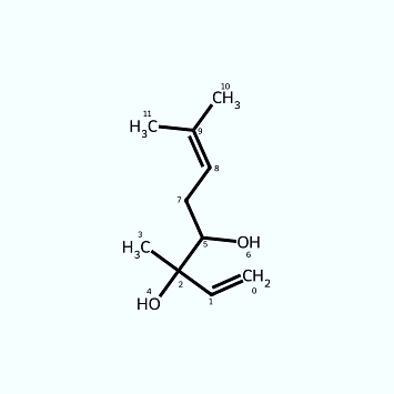 C=CC(C)(O)C(O)CC=C(C)C